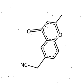 Cc1cc(=O)c2cc(CC#N)ccc2o1